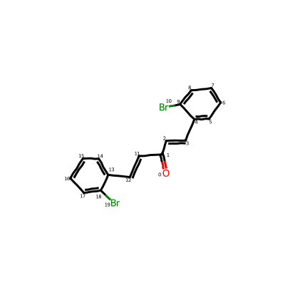 O=C(C=Cc1ccccc1Br)C=Cc1ccccc1Br